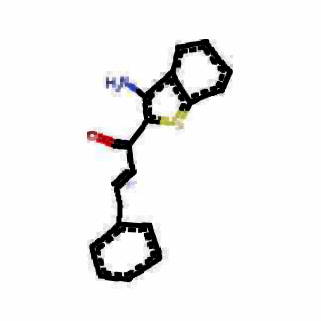 Nc1c(C(=O)/C=C/c2ccccc2)sc2ccccc12